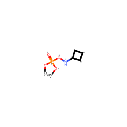 CCCOP(=O)(OCC)ONC1CCC1